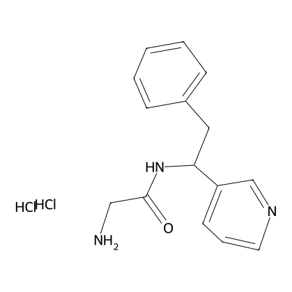 Cl.Cl.NCC(=O)NC(Cc1ccccc1)c1cccnc1